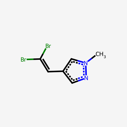 Cn1cc(C=C(Br)Br)cn1